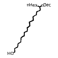 CCCCCCCCCCC(CCCCCC)CCCCCCCCCCCCCCCCCO